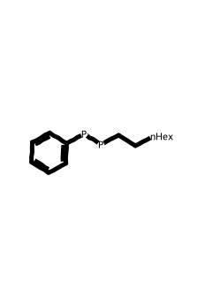 CCCCCCCC[P][P]c1ccccc1